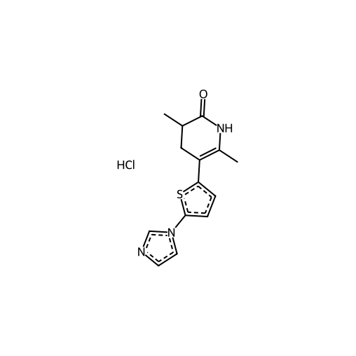 CC1=C(c2ccc(-n3ccnc3)s2)CC(C)C(=O)N1.Cl